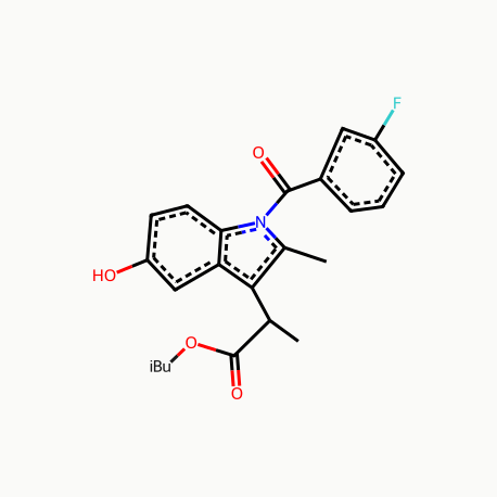 CCC(C)OC(=O)C(C)c1c(C)n(C(=O)c2cccc(F)c2)c2ccc(O)cc12